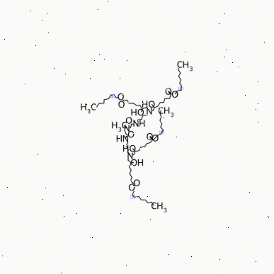 CCCCCC/C=C\COC(=O)CCCCCC(O)CN(CCCCNC(=O)CN(C)CC(=O)NCCCCN(CC(O)CCCCCC(=O)OC/C=C\CCCCCC)CC(O)CCCCCC(=O)OC/C=C\CCCCCC)CC(O)CCCCCC(=O)OC/C=C\CCCCCC